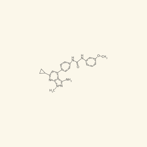 COc1cccc(NC(=O)Nc2ccc(-c3cc(C4CC4)nc4c3c(N)nn4C)cc2)c1